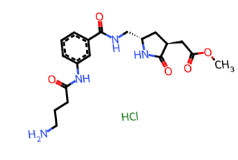 COC(=O)C[C@@H]1C[C@@H](CNC(=O)c2cccc(NC(=O)CCCN)c2)NC1=O.Cl